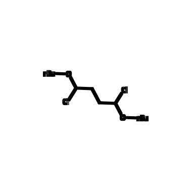 CCCCOC(Cl)CCC(Cl)OCCCC